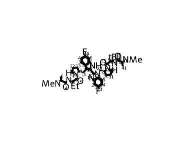 CC[C@H](NC(=O)[C@H](C)NC)C(=O)N1CCC[C@H]1Cc1c(-c2nc3cc(F)ccc3n2C[C@@H]2CCCN2C(=O)[C@@H](NC(=O)[C@H](C)NC)C(C)(C)C)[nH]c2cc(F)ccc12